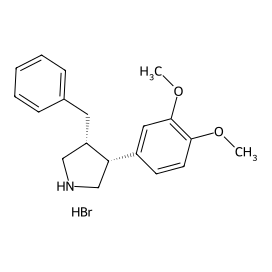 Br.COc1ccc([C@@H]2CNC[C@@H]2Cc2ccccc2)cc1OC